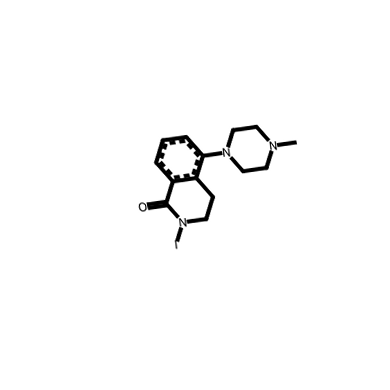 CN1CCN(c2cccc3c2CCN(I)C3=O)CC1